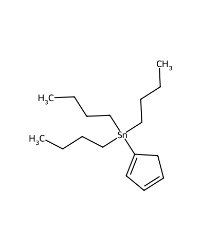 CCC[CH2][Sn]([CH2]CCC)([CH2]CCC)[C]1=CC=CC1